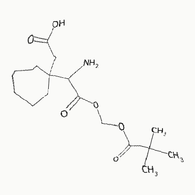 CC(C)(C)C(=O)OCOC(=O)C(N)C1(CC(=O)O)CCCCC1